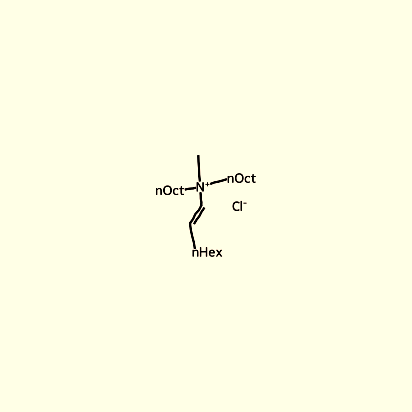 CCCCCCC=C[N+](C)(CCCCCCCC)CCCCCCCC.[Cl-]